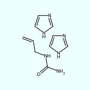 C=CCNC(N)=O.c1c[nH]cn1.c1c[nH]cn1